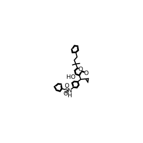 CC(C)(CCc1ccccc1)c1cc(O)c(C(c2ccc(NS(=O)(=O)c3ccccc3)cc2)C2CC2)c(=O)o1